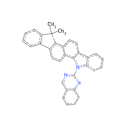 CC1(C)c2ccccc2-c2ccc3c(ccc4c5ccccc5n(-c5ncc6ccccc6n5)c34)c21